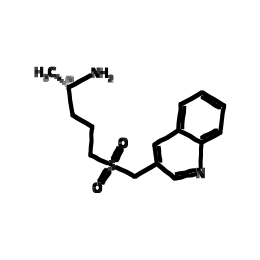 C[C@H](N)CCCS(=O)(=O)Cc1cnc2ccccc2c1